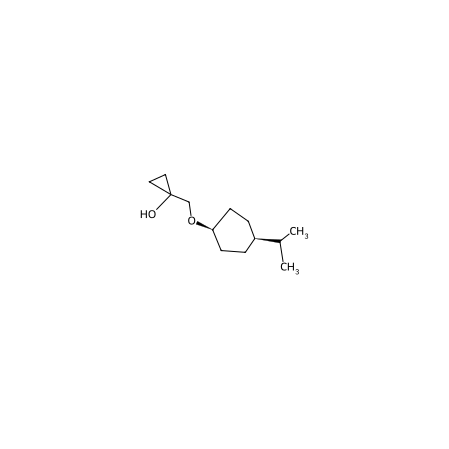 CC(C)[C@H]1CC[C@@H](OCC2(O)CC2)CC1